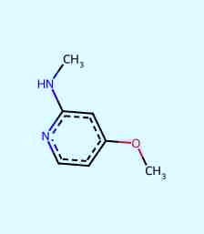 CNc1cc(OC)ccn1